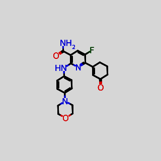 NC(=O)c1cc(F)c(C2=CC(=O)CCC2)nc1Nc1ccc(N2CCOCC2)cc1